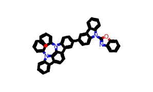 c1ccc(-n2c3ccccc3c3ccc4c5cc(-c6ccc7c(c6)c6ccccc6n7-c6nc7ccccc7o6)ccc5n(-c5ccccc5)c4c32)cc1